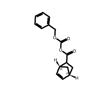 O=C(OCc1ccccc1)OC(=O)C1C[C@@H]2C=C[C@H]1C2